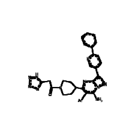 CC(=O)c1c(C2CCN(C(=O)Cc3nnn[nH]3)CC2)nc2c(-c3ccc(-c4ccccc4)nc3)cnn2c1N